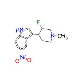 CN1CCC(c2c[nH]c3ccc([N+](=O)[O-])cc23)C(F)C1